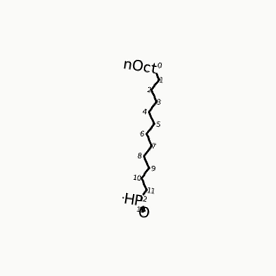 CCCCCCCCCCCCCCCCCCC[PH]=O